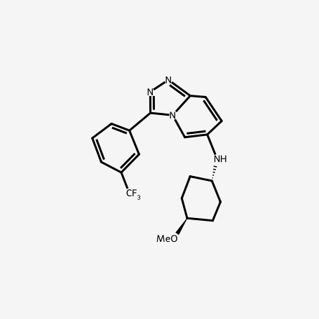 CO[C@H]1CC[C@H](Nc2ccc3nnc(-c4cccc(C(F)(F)F)c4)n3c2)CC1